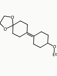 CCOC1CCC(=C2CCC3(CC2)OCCO3)CC1